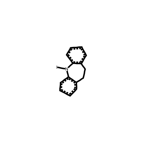 IN1c2ccccc2CCc2ccccc21